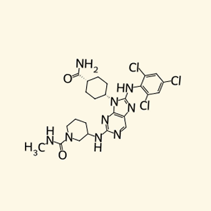 CNC(=O)N1CCCC(Nc2ncc3nc(Nc4c(Cl)cc(Cl)cc4Cl)n([C@H]4CC[C@@H](C(N)=O)CC4)c3n2)C1